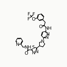 O=C(Cc1cccc(OC(F)(F)F)c1)Nc1ccc(N2CCC(c3nnc(C(=O)NCc4ccccn4)s3)C2)nn1